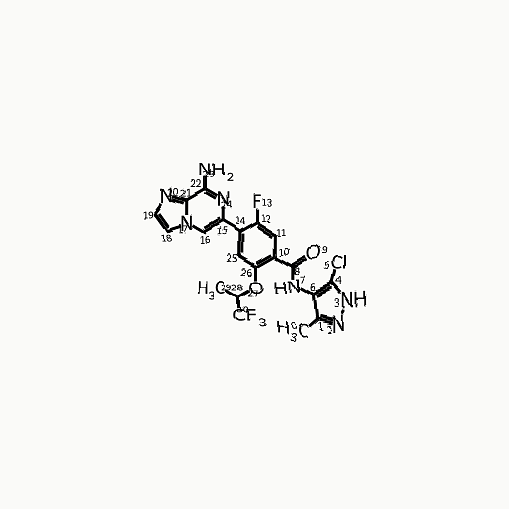 Cc1n[nH]c(Cl)c1NC(=O)c1cc(F)c(-c2cn3ccnc3c(N)n2)cc1OC(C)C(F)(F)F